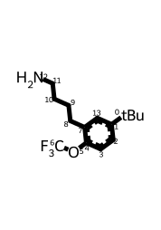 CC(C)(C)c1ccc(OC(F)(F)F)c(CCCCN)c1